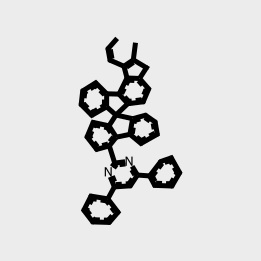 C/C=C\C1=C(C)Cc2ccc3c(c21)-c1ccccc1C31c2ccccc2-c2c(-c3nc(-c4ccccc4)cc(-c4ccccc4)n3)cccc21